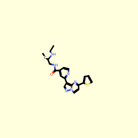 CCNC(CC)CNC(=O)c1ccnc(-c2cnn3ccc(-c4cccs4)nc23)c1